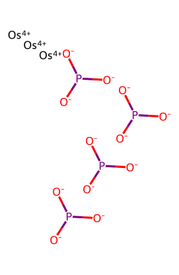 [O-]P([O-])[O-].[O-]P([O-])[O-].[O-]P([O-])[O-].[O-]P([O-])[O-].[Os+4].[Os+4].[Os+4]